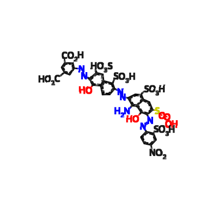 Nc1c(N=Nc2ccc3c(O)c(N=Nc4cc(C(=O)O)cc(C(=O)O)c4)c(S(=O)(=O)O)cc3c2S(=O)(=O)O)cc(S(=O)(=O)O)c2cc(SOOO)c(N=Nc3ccc([N+](=O)[O-])cc3S(=O)(=O)O)c(O)c12